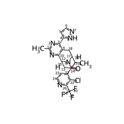 Cc1nc(-c2ccn[nH]2)c2c(n1)[C@@H]1CCC(C)[C@H](C2)N1C(=O)c1ccnc(C(F)(F)F)c1Cl